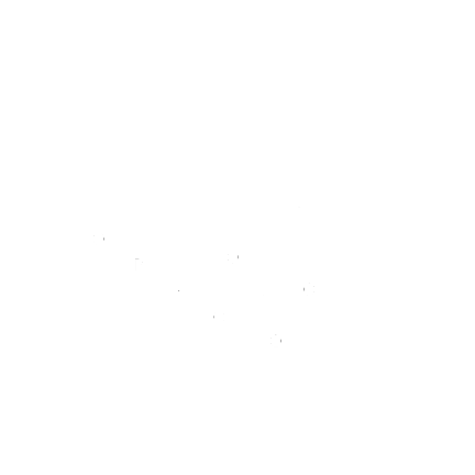 CCC1(CC)COP(=O)(OC(C)(C)P(C)(C)=O)OC1